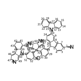 N#Cc1ccc2c(c1)-c1cc(-n3c4ccccc4c4ccccc43)ccc1C2c1ccc2c(c1)C1(c3cc(-n4c5ccccc5c5ccncc54)ccc3O2)c2cccnc2-c2ncccc21